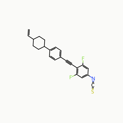 C=CC1CCC(c2ccc(C#Cc3c(F)cc(N=C=S)cc3F)cc2)CC1